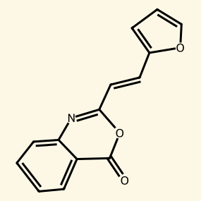 O=c1oc(/C=C/c2ccco2)nc2ccccc12